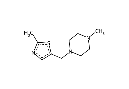 Cc1ncc(CN2CCN(C)CC2)s1